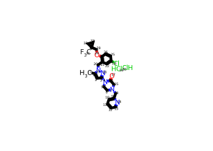 Cc1cc(N2CCN(Cc3ccccn3)CC2=O)nn1Cc1cc(Cl)ccc1OCC1(C(F)(F)F)CC1.Cl.Cl